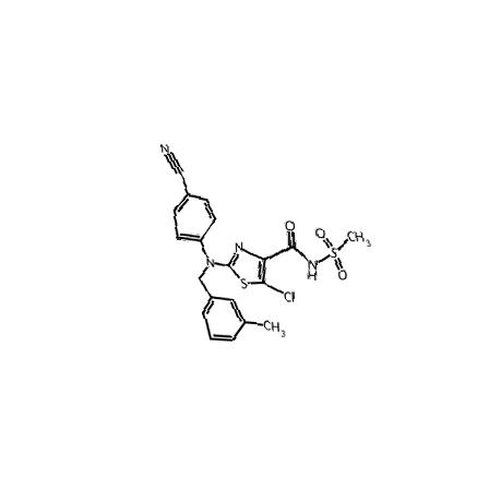 Cc1cccc(CN(c2ccc(C#N)cc2)c2nc(C(=O)NS(C)(=O)=O)c(Cl)s2)c1